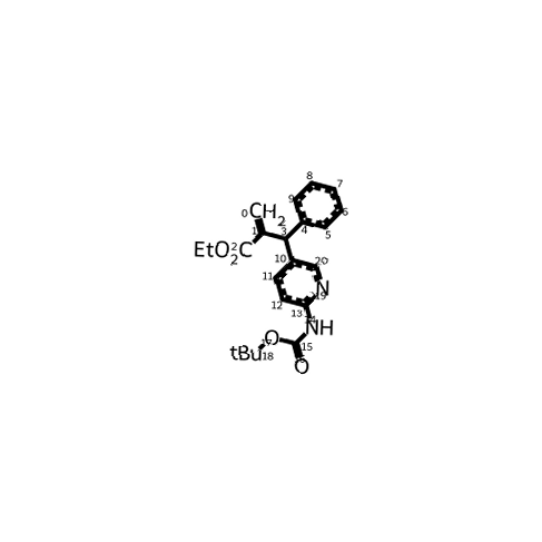 C=C(C(=O)OCC)C(c1ccccc1)c1ccc(NC(=O)OC(C)(C)C)nc1